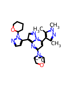 Cc1nn(C)c(C)c1-c1cc(N2CC3CCCC2CO3)nc2c(-c3ccnn3C3CCCCO3)cnn12